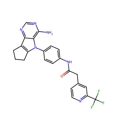 Nc1ncnc2c3c(n(-c4ccc(NC(=O)Cc5ccnc(C(F)(F)F)c5)cc4)c12)CCC3